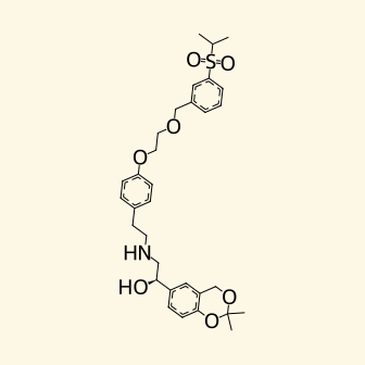 CC(C)S(=O)(=O)c1cccc(COCCOc2ccc(CCNC[C@H](O)c3ccc4c(c3)COC(C)(C)O4)cc2)c1